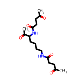 CC(=O)CCC(=O)NCCCCC(NC(=O)CCC(C)=O)C(C)=O